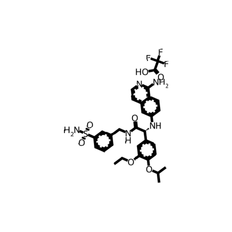 CCOc1cc([C@@H](Nc2ccc3c(N)nccc3c2)C(=O)NCc2cccc(S(N)(=O)=O)c2)ccc1OC(C)C.O=C(O)C(F)(F)F